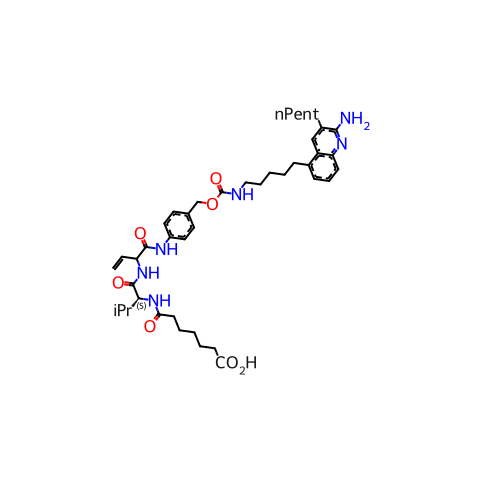 C=CC(NC(=O)[C@@H](NC(=O)CCCCCC(=O)O)C(C)C)C(=O)Nc1ccc(COC(=O)NCCCCCc2cccc3nc(N)c(CCCCC)cc23)cc1